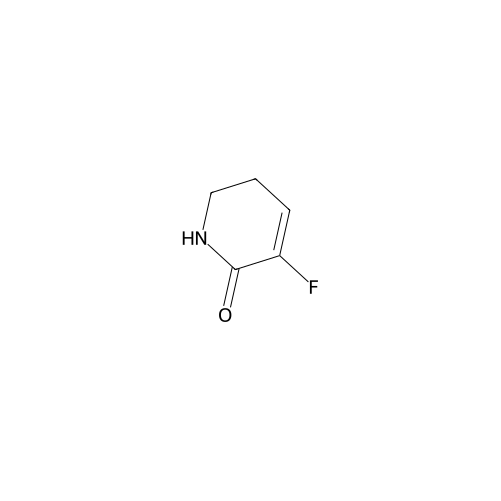 O=C1NCCC=C1F